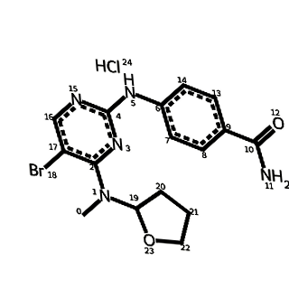 CN(c1nc(Nc2ccc(C(N)=O)cc2)ncc1Br)C1CCCO1.Cl